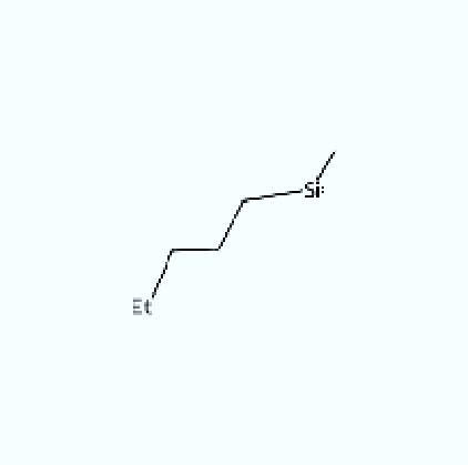 CCCCC[Si]C